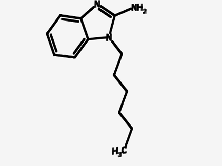 CCCCCCn1c(N)nc2ccccc21